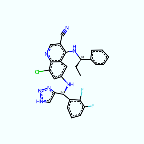 CC[C@@H](Nc1c(C#N)cnc2c(Cl)cc(N[C@H](c3c[nH]nn3)c3cccc(F)c3F)cc12)c1ccccc1